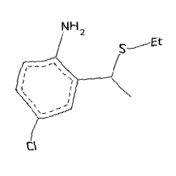 CCSC(C)c1cc(Cl)ccc1N